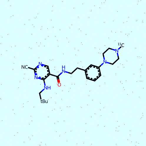 CC(C)(C)CNc1nc(C#N)ncc1C(=O)NCCc1cccc(N2CCN([11CH3])CC2)c1